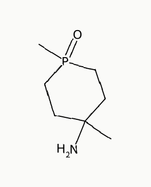 CC1(N)CCP(C)(=O)CC1